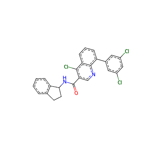 O=C(NC1CCc2ccccc21)c1cnc2c(-c3cc(Cl)cc(Cl)c3)cccc2c1Cl